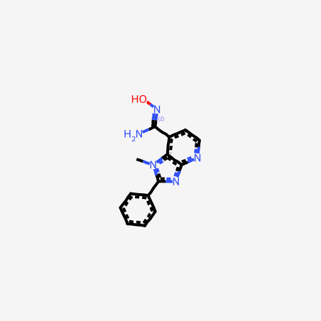 Cn1c(-c2ccccc2)nc2nccc(/C(N)=N/O)c21